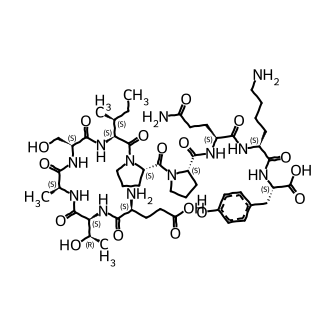 CC[C@H](C)[C@H](NC(=O)[C@H](CO)NC(=O)[C@H](C)NC(=O)[C@@H](NC(=O)[C@@H](N)CCC(=O)O)[C@@H](C)O)C(=O)N1CCC[C@H]1C(=O)N1CCC[C@H]1C(=O)N[C@@H](CCC(N)=O)C(=O)N[C@@H](CCCCN)C(=O)N[C@@H](Cc1ccc(O)cc1)C(=O)O